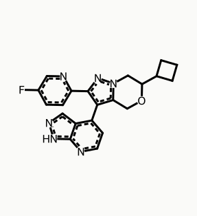 Fc1ccc(-c2nn3c(c2-c2ccnc4[nH]ncc24)COC(C2CCC2)C3)nc1